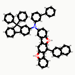 c1ccc(-c2cccc(N(c3ccc4c(c3)C(c3ccccc3)(c3ccccc3)c3ccccc3-4)c3ccc4oc5c(-c6ccc7ccccc7c6)c6c(cc5c4c3)oc3ccccc36)c2)cc1